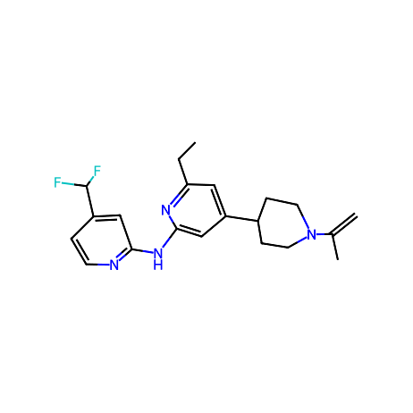 C=C(C)N1CCC(c2cc(CC)nc(Nc3cc(C(F)F)ccn3)c2)CC1